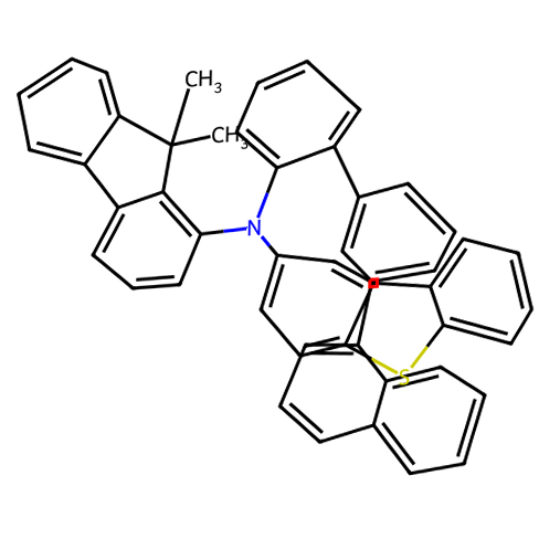 CC1(C)c2ccccc2-c2cccc(N(c3ccc4sc5ccccc5c4c3)c3ccccc3-c3cccc(-c4cccc5ccccc45)c3)c21